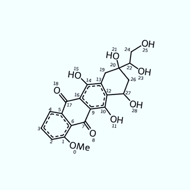 COc1cccc2c1C(=O)c1c(O)c3c(c(O)c1C2=O)CC(O)(C(O)CO)CC3O